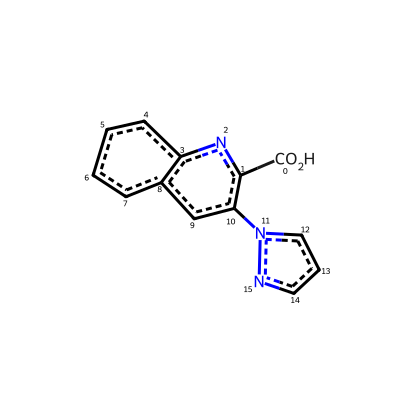 O=C(O)c1nc2ccccc2cc1-n1cccn1